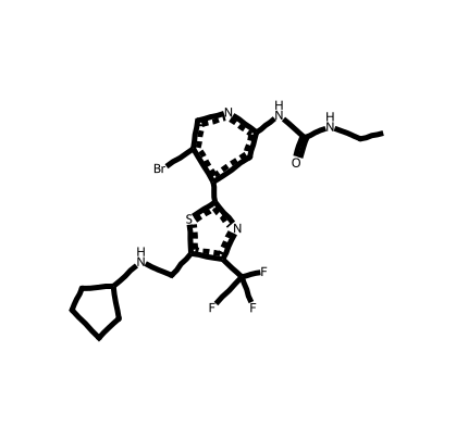 CCNC(=O)Nc1cc(-c2nc(C(F)(F)F)c(CNC3CCCC3)s2)c(Br)cn1